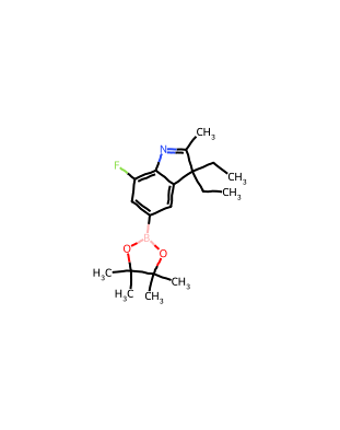 CCC1(CC)C(C)=Nc2c(F)cc(B3OC(C)(C)C(C)(C)O3)cc21